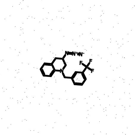 [N-]=[N+]=NC1Cc2ccccc2N(Cc2cccc(C(F)(F)F)c2)C1